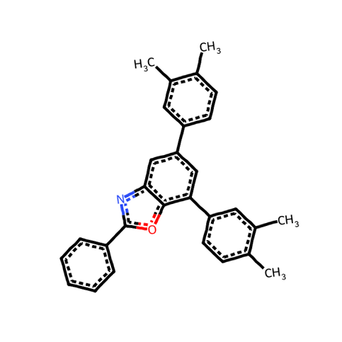 Cc1ccc(-c2cc(-c3ccc(C)c(C)c3)c3oc(-c4ccccc4)nc3c2)cc1C